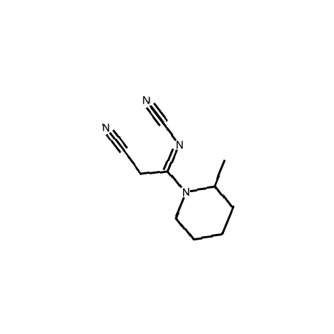 CC1CCCCN1C(CC#N)=NC#N